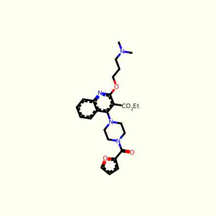 CCOC(=O)c1c(OCCCN(C)C)nc2ccccc2c1N1CCN(C(=O)c2ccco2)CC1